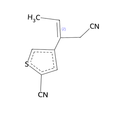 C/C=C(/CC#N)c1csc(C#N)c1